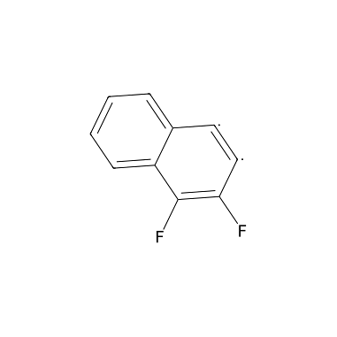 Fc1[c][c]c2ccccc2c1F